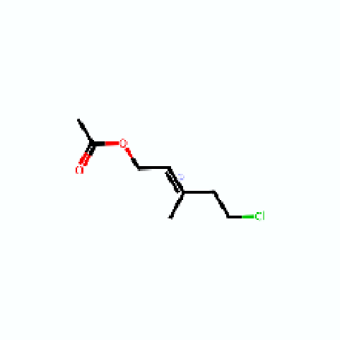 CC(=O)OC/C=C(\C)CCCl